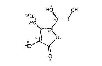 O=C1O[C@H]([C@@H](O)CO)C(O)=C1O.[Cs]